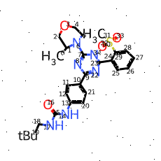 CC1COCCN1c1nc(-c2ccc(NC(=O)NCC(C)(C)C)cc2)nc(-c2ccccc2S(C)(=O)=O)n1